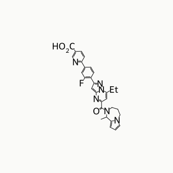 CCc1cc(C(=O)N2CCCn3cccc3C2C)nc2cc(-c3ccc(-c4ccc(C(=O)O)cn4)cc3F)nn12